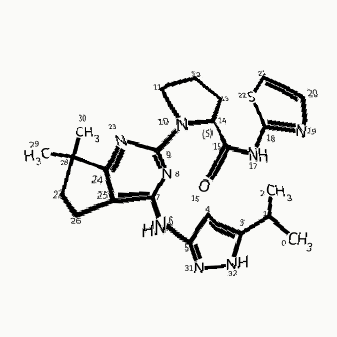 CC(C)c1cc(Nc2nc(N3CCC[C@H]3C(=O)Nc3nccs3)nc3c2CCC3(C)C)n[nH]1